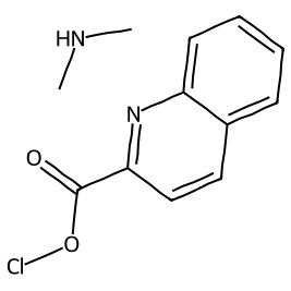 CNC.O=C(OCl)c1ccc2ccccc2n1